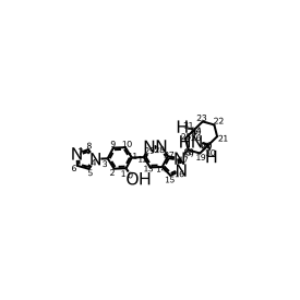 Oc1cc(-n2ccnc2)ccc1-c1cc2cnn([C@@H]3C[C@H]4CCC[C@@H](C3)N4)c2nn1